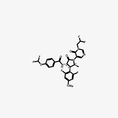 COc1cc(F)c([C@H]2[C@H](NC(=O)c3ccc(OC(F)F)cc3)C(=O)N(c3cncn(CC(F)F)c3=O)[C@H]2C)c(F)c1